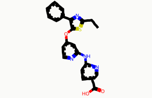 CCc1nc(-c2ccccc2)c(Oc2ccnc(Nc3ccc(C(=O)O)cn3)c2)s1